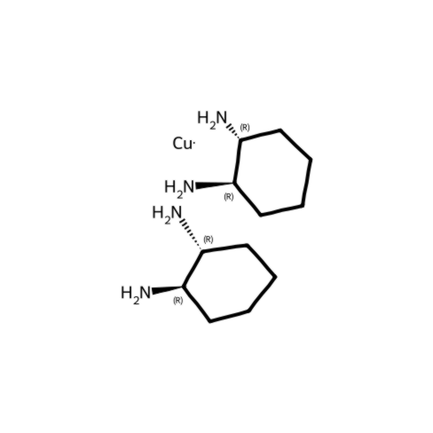 N[C@@H]1CCCC[C@H]1N.N[C@@H]1CCCC[C@H]1N.[Cu]